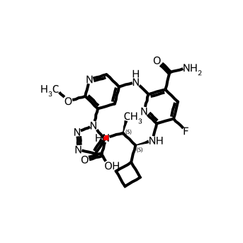 COc1ncc(Nc2nc(N[C@@H](C3CCC3)[C@H](C)NC(=O)O)c(F)cc2C(N)=O)cc1-n1ccnn1